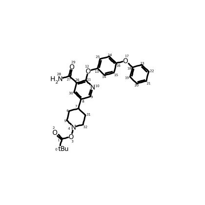 CC(C)(C)C(=O)ON1CCC(c2cnc(Oc3ccc(Oc4ccccc4)cc3)c(C(N)=O)c2)CC1